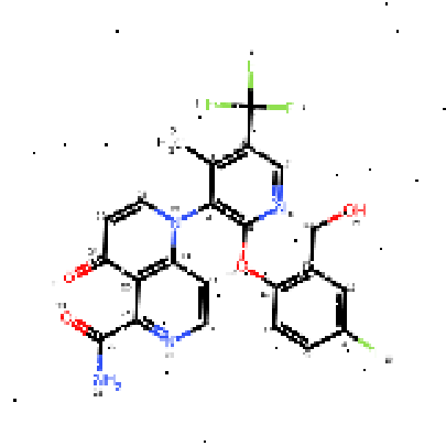 Cc1c(C(F)(F)F)cnc(Oc2ccc(F)cc2CO)c1-n1ccc(=O)c2c(C(N)=O)nccc21